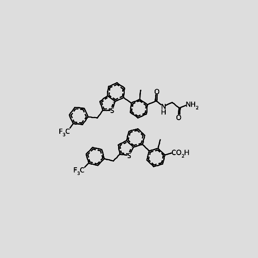 Cc1c(C(=O)NCC(N)=O)cccc1-c1cccc2cc(Cc3cccc(C(F)(F)F)c3)sc12.Cc1c(C(=O)O)cccc1-c1cccc2cc(Cc3cccc(C(F)(F)F)c3)sc12